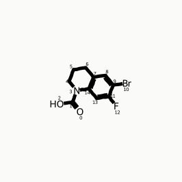 O=C(O)N1CCCc2cc(Br)c(F)cc21